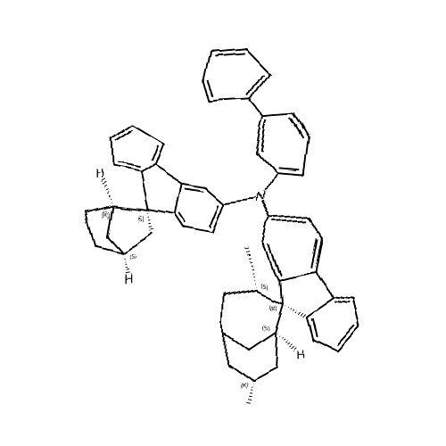 C[C@@H]1CC2C[C@H](C1)[C@@]1(c3ccccc3-c3ccc(N(c4cccc(-c5ccccc5)c4)c4ccc5c(c4)-c4ccccc4[C@@]54C[C@H]5CC[C@@H]4C5)cc31)[C@@H](C)C2